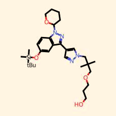 CC(C)(COCCCO)Cn1cc(-c2nn(C3CCCCO3)c3ccc(O[Si](C)(C)C(C)(C)C)cc23)cn1